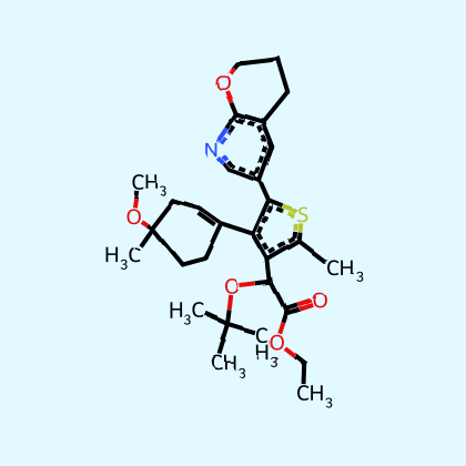 CCOC(=O)C(OC(C)(C)C)c1c(C)sc(-c2cnc3c(c2)CCCO3)c1C1=CCC(C)(OC)CC1